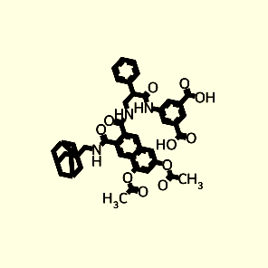 CC(=O)Oc1cc(OC(C)=O)c2cc(C(=O)NCC34CC5CC(CC(C5)C3)C4)c(C(=O)NCC(C(=O)Nc3cc(C(=O)O)cc(C(=O)O)c3)c3ccccc3)cc2c1